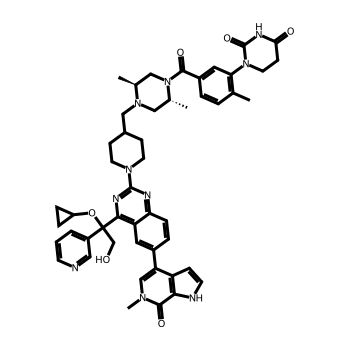 Cc1ccc(C(=O)N2C[C@H](C)N(CC3CCN(c4nc(C(CO)(OC5CC5)c5cccnc5)c5cc(-c6cn(C)c(=O)c7[nH]ccc67)ccc5n4)CC3)C[C@H]2C)cc1N1CCC(=O)NC1=O